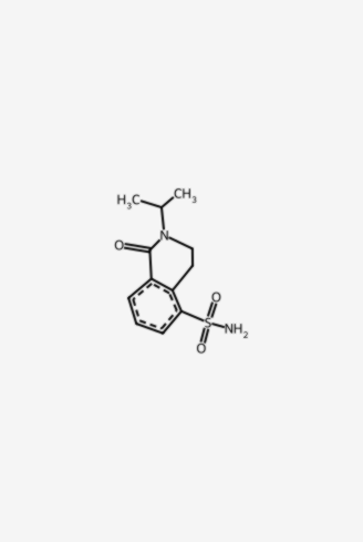 CC(C)N1CCc2c(cccc2S(N)(=O)=O)C1=O